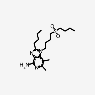 CCCCc1nc2c(N)nc(C)c(C)c2n1CCCCS(=O)(=O)CCCC